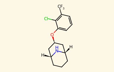 FC(F)(F)c1cccc(O[C@@H]2C[C@H]3CCC[C@@H](C2)N3)c1Cl